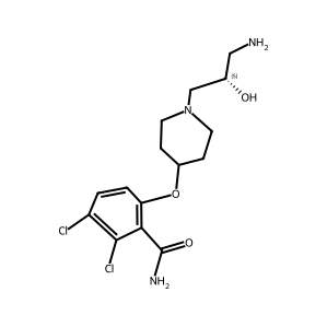 NC[C@H](O)CN1CCC(Oc2ccc(Cl)c(Cl)c2C(N)=O)CC1